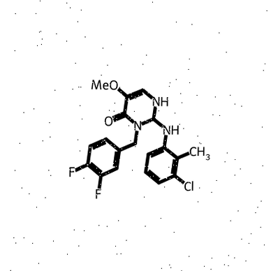 COC1=CNC(Nc2cccc(Cl)c2C)N(Cc2ccc(F)c(F)c2)C1=O